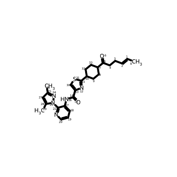 C/C=C/CCC(=O)C1CCC(c2nc(C(=O)Nc3cccnc3-n3nc(C)cc3C)cs2)CC1